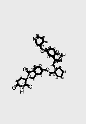 O=C1CCC(N2Cc3cc(OCC4CCCCN4Cc4n[nH]c5ccc(Oc6cccnc6)cc45)ccc3C2=O)C(=O)N1